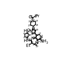 CCC1=C(N[C@@H]2CC[C@H](O)C2)N=c2c(-c3cnn(C4CCN(C(=O)C(C)C)CC4)c3)cnc(N)c2=[N+]2CC12